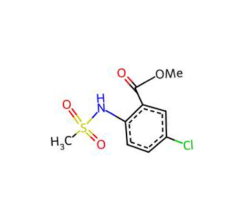 COC(=O)c1cc(Cl)ccc1NS(C)(=O)=O